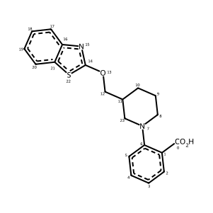 O=C(O)c1ccccc1N1CCCC(COc2nc3ccccc3s2)C1